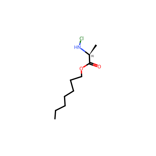 CCCCCCCOC(=O)[C@H](C)NCl